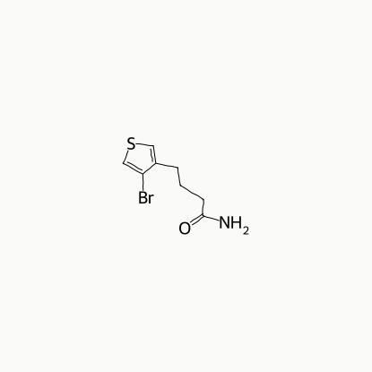 NC(=O)CCCc1cscc1Br